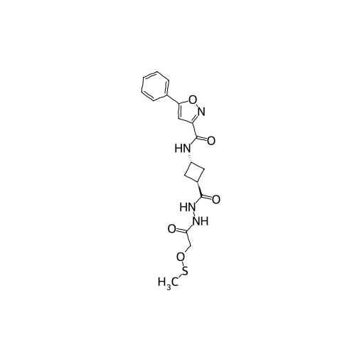 CSOCC(=O)NNC(=O)[C@H]1C[C@H](NC(=O)c2cc(-c3ccccc3)on2)C1